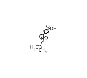 CCN(CC)CCCN1CCCC(c2ccc(C(=O)O)cc2)C1=O